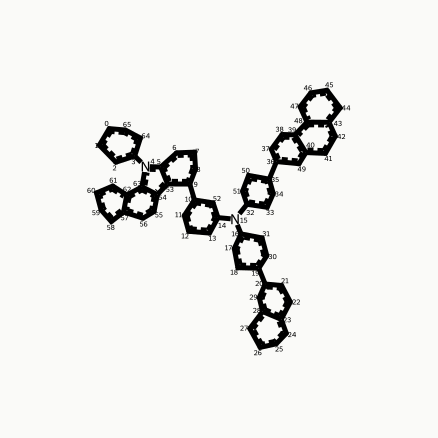 c1ccc(-n2c3cccc(-c4cccc(N(c5ccc(-c6ccc7ccccc7c6)cc5)c5ccc(-c6ccc7c(ccc8ccccc87)c6)cc5)c4)c3c3ccc4ccccc4c32)cc1